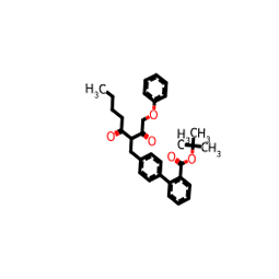 CCCCC(=O)C(Cc1ccc(-c2ccccc2C(=O)OC(C)(C)C)cc1)C(=O)COc1ccccc1